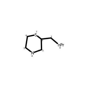 CCCCC1C[N]CCS1